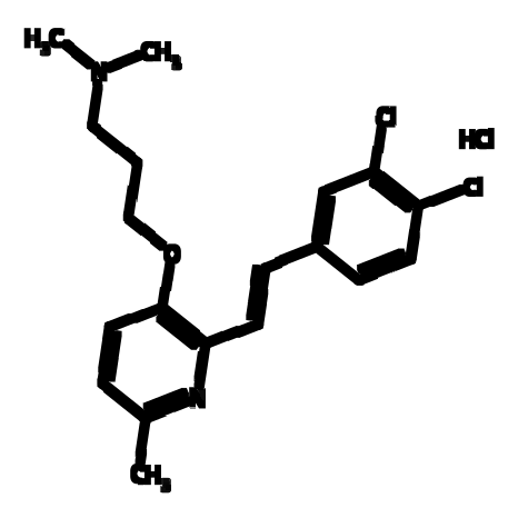 Cc1ccc(OCCCN(C)C)c(/C=C/c2ccc(Cl)c(Cl)c2)n1.Cl